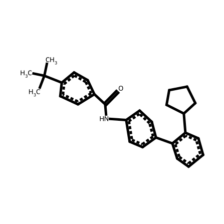 CC(C)(C)c1ccc(C(=O)Nc2ccc(-c3ccccc3C3CCCC3)cc2)cc1